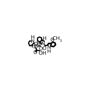 COc1cccc2[nH]c(C(=O)N3C[C@@H]4CCCC[C@@H]4[C@H]3C(=O)N[C@@H](C[C@@H]3CCCNC3=O)C(=O)CO)cc12